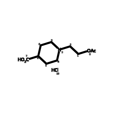 CC(=O)OCCN1CCC(C(=O)O)CC1.Cl